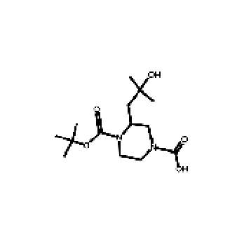 CC(C)(O)CC1CN(C(=O)O)CCN1C(=O)OC(C)(C)C